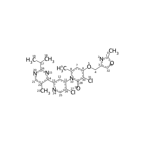 Cc1nc(COc2cc(C)n(-c3cc(-c4nc(C(C)C)ncc4C)ncc3Cl)c(=O)c2Cl)co1